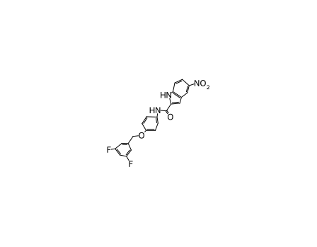 O=C(Nc1ccc(OCc2cc(F)cc(F)c2)cc1)c1cc2cc([N+](=O)[O-])ccc2[nH]1